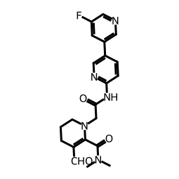 CN(C)C(=O)C1=C(C=O)CCCN1CC(=O)Nc1ccc(-c2cncc(F)c2)cn1